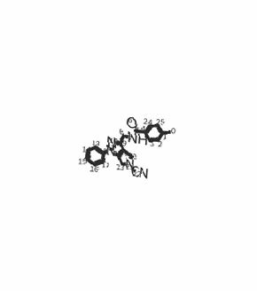 Cc1ccc(C(=O)NCc2nn(-c3ccccc3)c3c2CN(C#N)C3)cc1